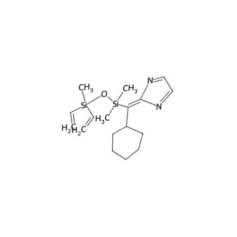 C=C[Si](C)(C=C)O[Si](C)(C)C(=C1N=CC=N1)C1CCCCC1